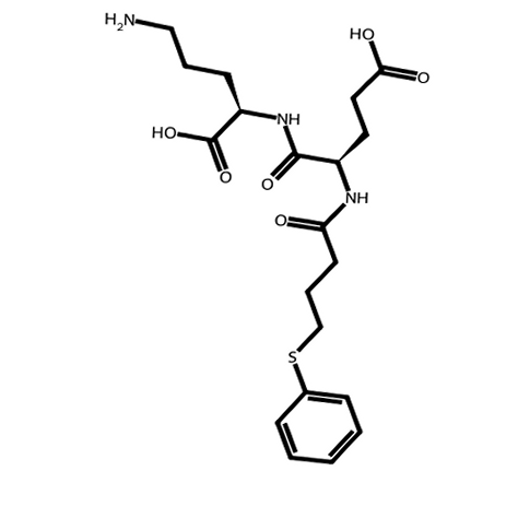 NCCC[C@@H](NC(=O)[C@@H](CCC(=O)O)NC(=O)CCCSc1ccccc1)C(=O)O